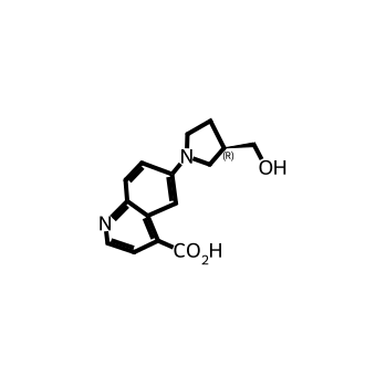 O=C(O)c1ccnc2ccc(N3CC[C@@H](CO)C3)cc12